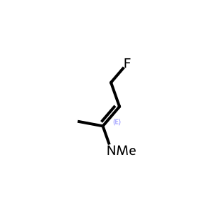 CN/C(C)=C/CF